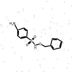 Nc1ccc(S(=O)(=O)NOCc2ccccc2)cc1